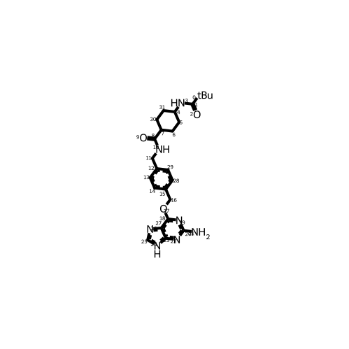 CC(C)(C)C(=O)NC1CCC(C(=O)NCc2ccc(COc3nc(N)nc4[nH]cnc34)cc2)CC1